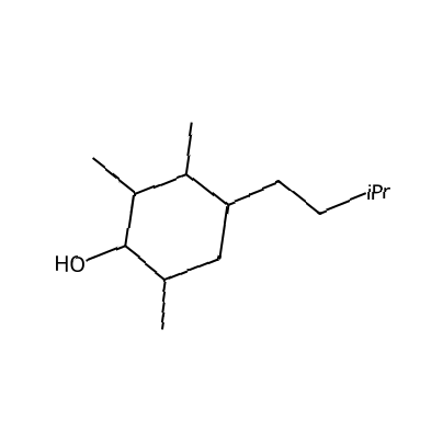 CC(C)CCC1CC(C)C(O)C(C)C1C